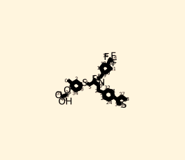 Cc1cc(SCc2sc(-c3ccc(C(F)(F)F)cc3)nc2Cc2ccc(-c3ccsc3)cc2)ccc1OCC(=O)O